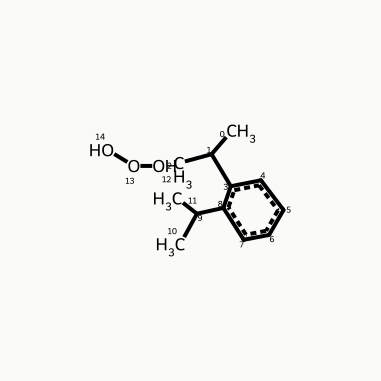 CC(C)c1ccccc1C(C)C.OOO